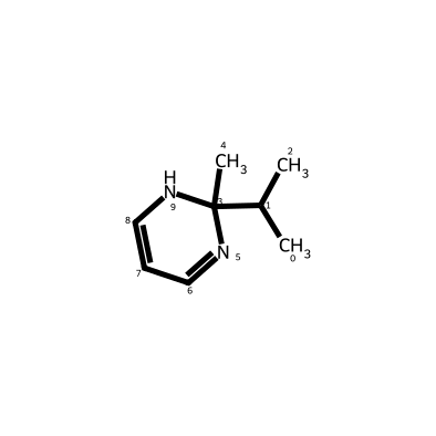 CC(C)C1(C)N=CC=CN1